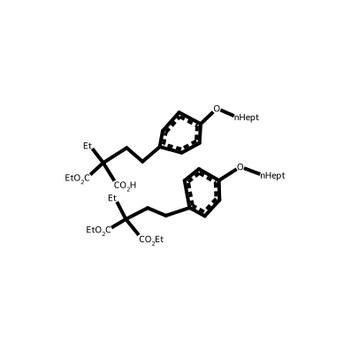 CCCCCCCOc1ccc(CCC(CC)(C(=O)O)C(=O)OCC)cc1.CCCCCCCOc1ccc(CCC(CC)(C(=O)OCC)C(=O)OCC)cc1